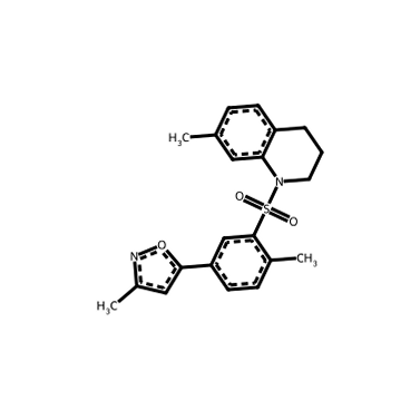 Cc1ccc2c(c1)N(S(=O)(=O)c1cc(-c3cc(C)no3)ccc1C)CCC2